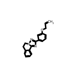 C=CCOc1cccc(-c2nc3n(n2)CCc2ccccc2-3)c1